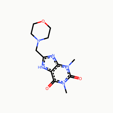 Cn1c(=O)c2[nH]c(CN3CCOCC3)nc2n(C)c1=O